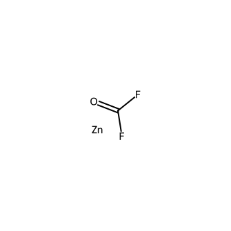 O=C(F)F.[Zn]